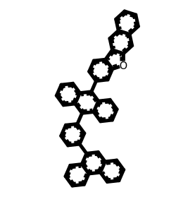 c1cc(-c2c3ccccc3c(-c3ccc4c(c3)oc3cc5ccccc5cc34)c3ccccc23)cc(-c2cc3ccccc3c3ccccc23)c1